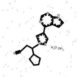 N#CCC(C1CCCC1)n1cc(-c2ncnc3[nH]ccc23)cn1.O.O